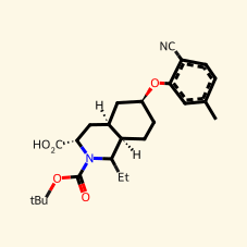 CCC1[C@@H]2CC[C@H](Oc3cc(C)ccc3C#N)C[C@@H]2C[C@@H](C(=O)O)N1C(=O)OC(C)(C)C